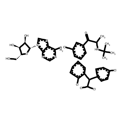 CC(NC(C)(C)C)C(=O)c1cccc(Cl)c1.Clc1ccc(C(c2ccccc2Cl)C(Cl)Cl)cc1.Nc1ncnc2c1ncn2[C@@H]1O[C@H](CO)[C@@H](O)[C@H]1O